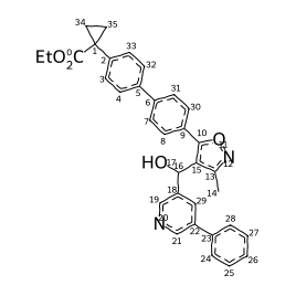 CCOC(=O)C1(c2ccc(-c3ccc(-c4onc(C)c4C(O)c4cncc(-c5ccccc5)c4)cc3)cc2)CC1